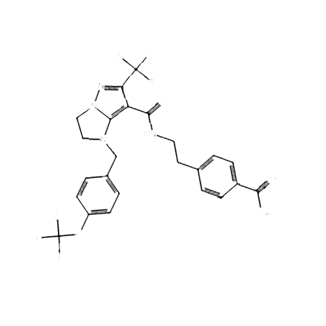 O=C(O)c1ccc(CCNC(=O)c2c(C(F)(F)F)nn3c2N(Cc2ccc(OC(F)(F)F)cc2)CC3)cc1